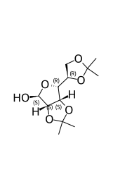 CC1(C)O[C@@H]2[C@H](O1)[C@@H](O)O[C@@H]2[C@H]1COC(C)(C)O1